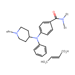 CCCN1CCC(N(c2ccccc2)c2ccc(C(=O)N(CC)CC)cc2)CC1.O=C(O)C=CC(=O)O